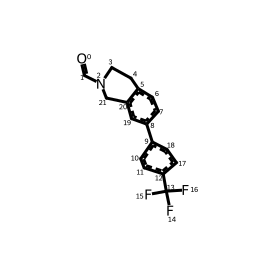 O=CN1CCc2ccc(-c3ccc(C(F)(F)F)cc3)cc2C1